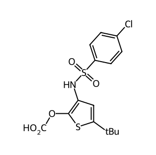 CC(C)(C)c1cc(NS(=O)(=O)c2ccc(Cl)cc2)c(OC(=O)O)s1